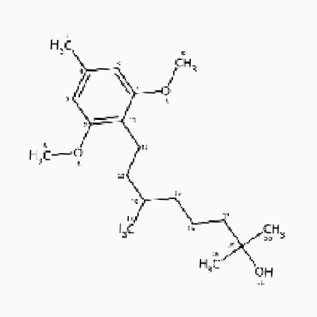 COc1cc(C)cc(OC)c1CCC(C)CCCC(C)(C)O